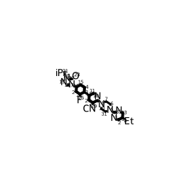 CCc1cnc(N2CCN(c3ncc(-c4ccc(-n5cnn(C(C)C)c5=O)cc4F)cc3C#N)CC2)nc1